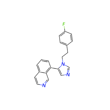 Fc1ccc(CCn2cncc2-c2cccc3ccncc23)cc1